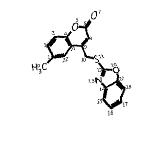 Cc1ccc2oc(=O)cc(CSc3nc4ccccc4o3)c2c1